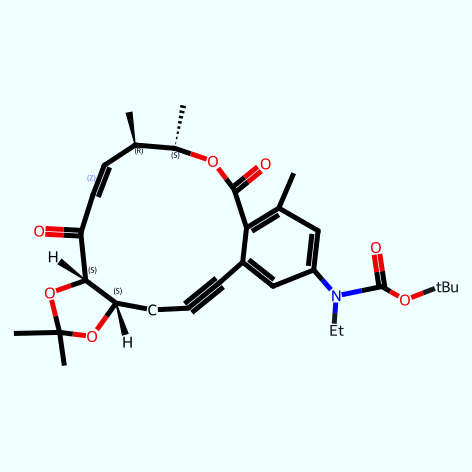 CCN(C(=O)OC(C)(C)C)c1cc(C)c2c(c1)C#CC[C@@H]1OC(C)(C)O[C@@H]1C(=O)/C=C\[C@@H](C)[C@H](C)OC2=O